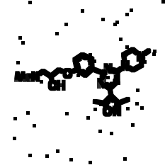 CNCC(O)COc1cccc(-c2nc(-c3c(C)noc3C)cc(N3CCN(C)CC3)n2)c1